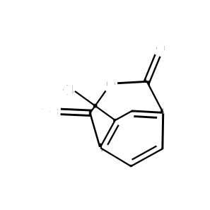 O=c1oc(=O)c2ccc1cc2Cl